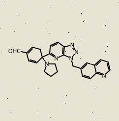 O=CC1=CCC(c2ccc3nnn(Cc4ccc5ncccc5c4)c3n2)(N2CCCC2)C=C1